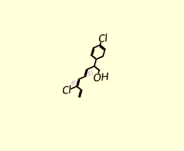 C=C/C(Cl)=C\C=C\C(CO)C1C=CC(Cl)=CC1